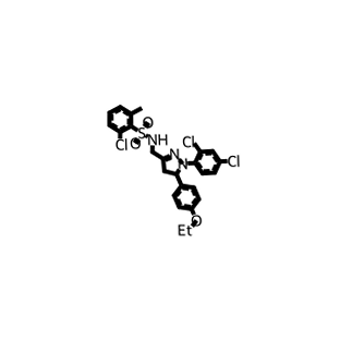 CCOc1ccc(C2CC(CNS(=O)(=O)c3c(C)cccc3Cl)=NN2c2ccc(Cl)cc2Cl)cc1